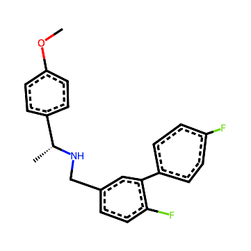 COc1ccc([C@@H](C)NCc2ccc(F)c(-c3ccc(F)cc3)c2)cc1